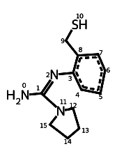 NC(=Nc1ccccc1CS)N1CCCC1